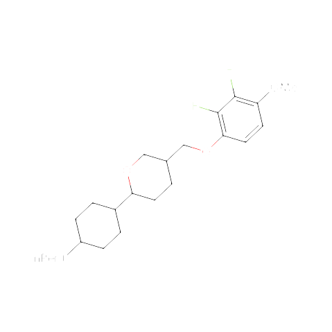 CCCCCC1CCC(C2CCC(COc3ccc(OC)c(F)c3F)CO2)CC1